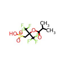 CC(C)C(=O)OC(CS(=O)(=O)O)(C(F)(F)F)C(F)(F)F